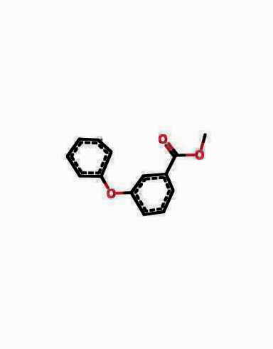 COC(=O)c1cccc(Oc2c[c]ccc2)c1